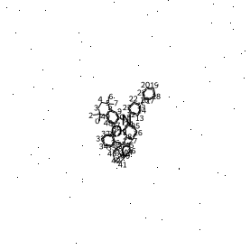 CC1(C)CCC(C)(C)c2cc(N(c3ccc(-c4ccccc4)cc3)c3cccc4c3Oc3ccccc3C43C4CC5CC(C4)CC3C5)ccc21